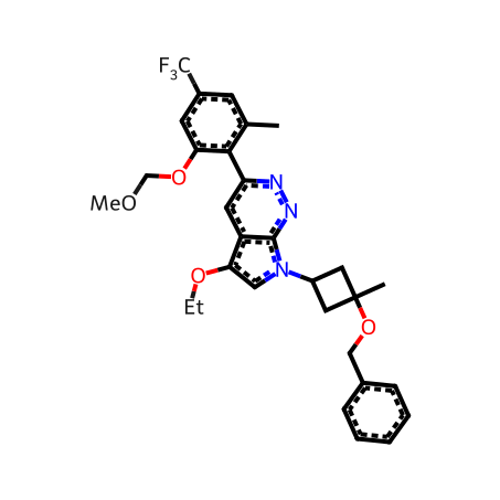 CCOc1cn(C2CC(C)(OCc3ccccc3)C2)c2nnc(-c3c(C)cc(C(F)(F)F)cc3OCOC)cc12